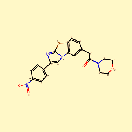 O=C(Cc1ccc2sc3nc(-c4ccc([N+](=O)[O-])cc4)cn3c2c1)N1CCOCC1